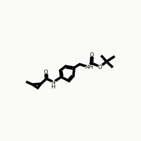 CC1CC1C(=O)Nc1ccc(CNC(=O)OC(C)(C)C)cc1